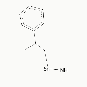 C[NH][Sn][CH2]C(C)c1ccccc1